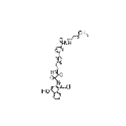 CSCCCNC(=O)c1csc(-c2csc(CCNC(=O)C(=O)N3CC(CCl)c4c3cc(O)c3ccccc43)n2)n1